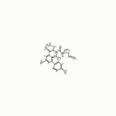 C=CC[C@]1(C)C[C@H](c2cccc(Cl)c2)[C@@H](c2ccc(Cl)cc2)N(C(C=O)CC)C1=O